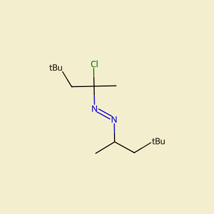 CC(CC(C)(C)C)N=NC(C)(Cl)CC(C)(C)C